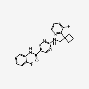 O=C(Nc1ccccc1F)c1cnc(NCC2(c3ncccc3F)CCC2)nc1